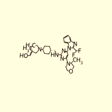 CCN(C/C(C)=C/O)[C@H]1CC[C@H](CNc2nc(N3CCOC[C@@H]3C)cc(-n3c(C(F)F)nc4ccccc43)n2)CC1